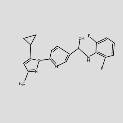 OC(Nc1c(F)cccc1F)c1ccc(-n2nc(C(F)(F)F)cc2C2CC2)nc1